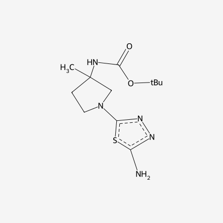 CC1(NC(=O)OC(C)(C)C)CCN(c2nnc(N)s2)C1